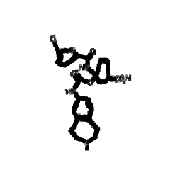 CN1CCc2ccc(NC(=O)OC3(NC(=O)c4ccc(Cl)s4)CCC(C(=O)O)C3)cc2CC1